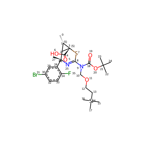 C[C@H]1C2[C@@]1(C(=O)O)SC(N(COCC[Si](C)(C)C)C(=O)OC(C)(C)C)=N[C@]2(C)c1cc(Br)ccc1F